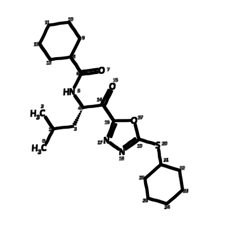 CC(C)C[C@H](NC(=O)C1CCCCC1)C(=O)c1nnc(SC2CCCCC2)o1